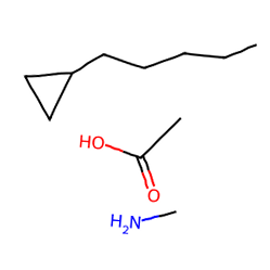 CC(=O)O.CCCCCC1CC1.CN